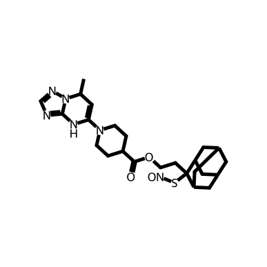 CC1C=C(N2CCC(C(=O)OCCC3(SN=O)C4CC5CC(C4)CC3C5)CC2)Nc2ncnn21